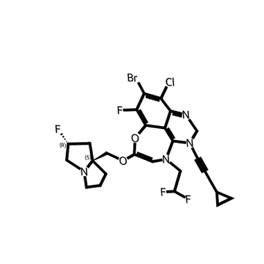 Fc1c(Br)c(Cl)c2c3c1OC(OC[C@@]14CCCN1C[C@H](F)C4)=CN(CC(F)F)C=3N(C#CC1CC1)CN=2